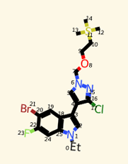 CCn1cc(-c2cn(COCCS(C)(C)C)nc2Cl)c2cc(Br)c(F)cc21